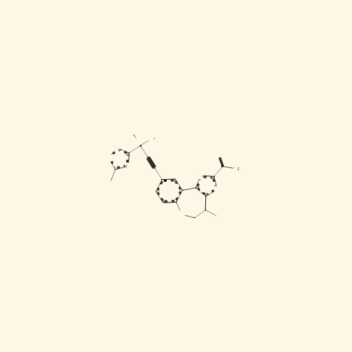 Cc1nc([C@](C)(O)C#Cc2ccc3c(c2)-c2nc(C(N)=O)sc2C(C)CO3)no1